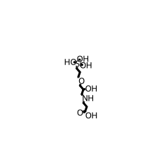 O=C(O)CCNCC(O)COCCC[Si](O)(O)O